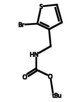 CC(C)(C)OC(=O)NCc1ccsc1Br